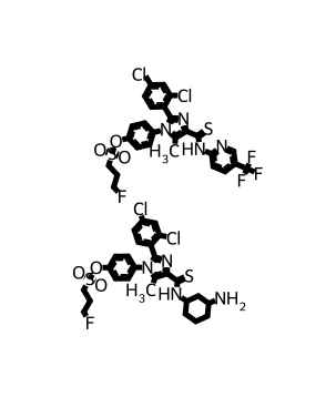 Cc1c(C(=S)NC2CCCC(N)C2)nc(-c2ccc(Cl)cc2Cl)n1-c1ccc(OS(=O)(=O)CCCF)cc1.Cc1c(C(=S)Nc2ccc(C(F)(F)F)cn2)nc(-c2ccc(Cl)cc2Cl)n1-c1ccc(OS(=O)(=O)CCCF)cc1